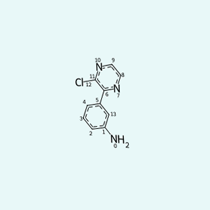 Nc1cccc(-c2nccnc2Cl)c1